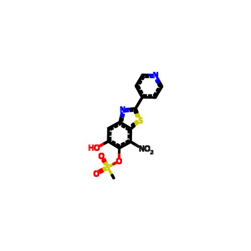 CS(=O)(=O)Oc1c(O)cc2nc(-c3ccncc3)sc2c1[N+](=O)[O-]